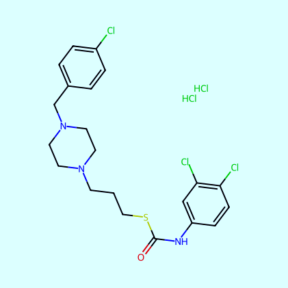 Cl.Cl.O=C(Nc1ccc(Cl)c(Cl)c1)SCCCN1CCN(Cc2ccc(Cl)cc2)CC1